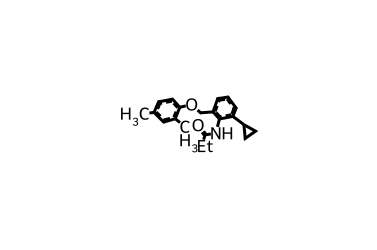 CCC(=O)Nc1c(COc2ccc(C)cc2C)cccc1C1CC1